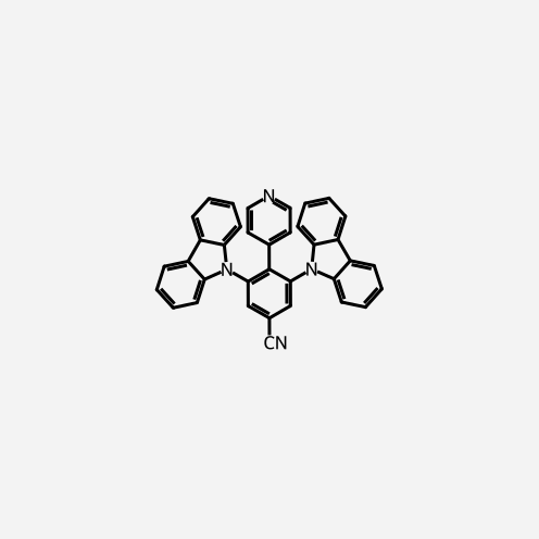 N#Cc1cc(-n2c3ccccc3c3ccccc32)c(-c2ccncc2)c(-n2c3ccccc3c3ccccc32)c1